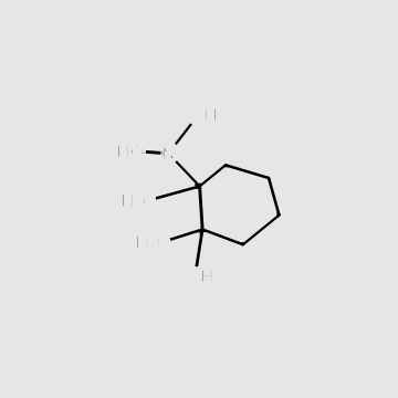 CN(O)C1(C)CCCCC1(C)C